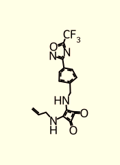 C=CCNc1c(NCc2ccc(-c3noc(C(F)(F)F)n3)cc2)c(=O)c1=O